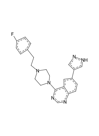 Fc1ccc(CCN2CCN(c3ncnc4ccc(-c5cn[nH]c5)cc34)CC2)cc1